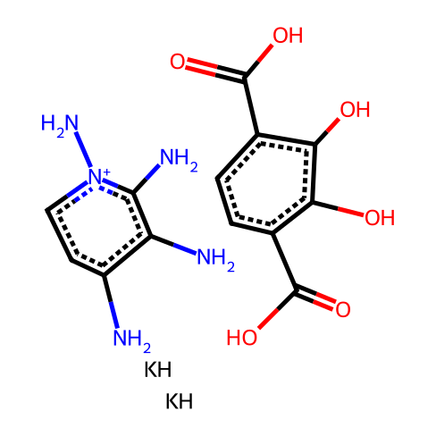 Nc1cc[n+](N)c(N)c1N.O=C(O)c1ccc(C(=O)O)c(O)c1O.[KH].[KH]